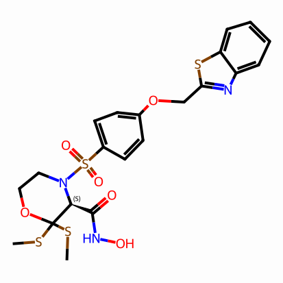 CSC1(SC)OCCN(S(=O)(=O)c2ccc(OCc3nc4ccccc4s3)cc2)[C@H]1C(=O)NO